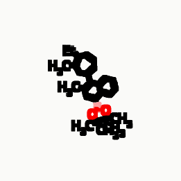 CCC1=C(C)CC(c2c(C)cc(B3OC(C)(C)C(C)(C)O3)c3ccccc23)=CC=C1